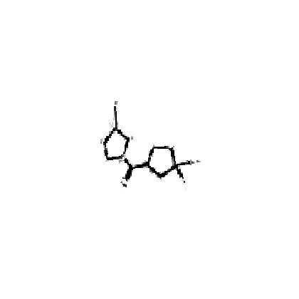 O=C(C1CCC(F)(F)C1)N1CCC(F)C1